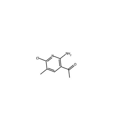 CC(=O)c1cc(C)c(Cl)nc1N